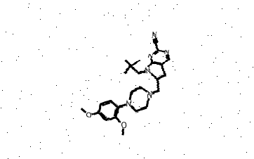 COc1ccc(N2CCN(CC3Cc4cnc(C#N)nc4N3CC(C)(C)C)CC2)c(OC)c1